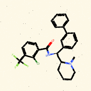 CN1CCCC[C@H]1[C@@H](NC(=O)c1cccc(C(F)(F)F)c1Cl)c1cccc(-c2ccccc2)c1